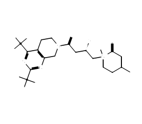 CC1CC[N+]([O-])(C[C@H](N)CC(=O)N2CCc3c(nc(C(F)(F)F)nc3C(F)(F)F)C2)C(=O)C1